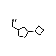 CC(C)CC1CCC(C2CCC2)C1